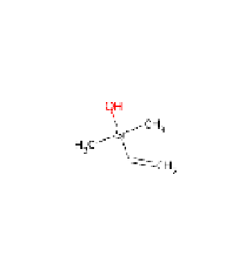 C=C[Si](C)(C)O